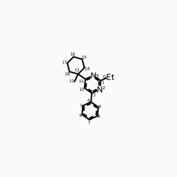 CCc1nc(-c2ccccc2)cc(C2(C)CCCCC2)n1